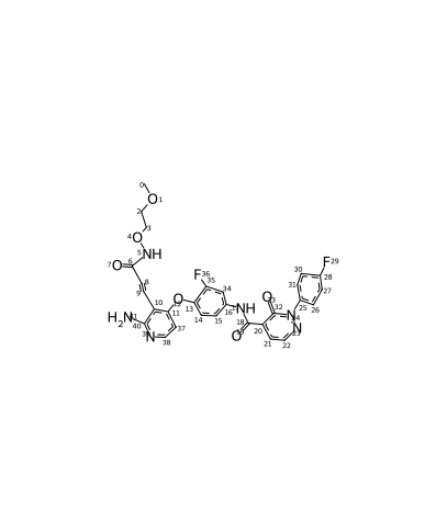 COCCONC(=O)C#Cc1c(Oc2ccc(NC(=O)c3ccnn(-c4ccc(F)cc4)c3=O)cc2F)ccnc1N